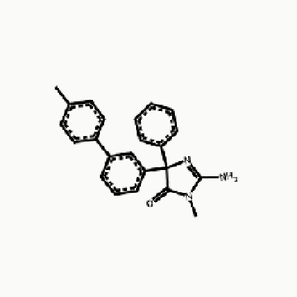 Cc1ccc(-c2cccc(C3(c4ccccc4)N=C(N)N(C)C3=O)c2)cc1